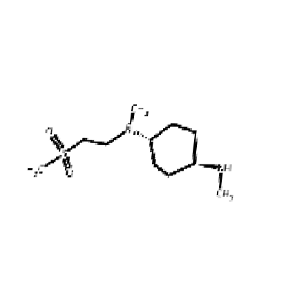 CN[C@H]1CC[C@H](N(C)CCS(C)(=O)=O)CC1